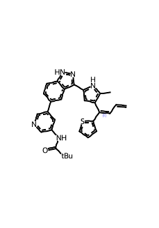 C=C/C=C(/c1cccs1)c1cc(-c2n[nH]c3ccc(-c4cncc(NC(=O)C(C)(C)C)c4)cc23)[nH]c1C